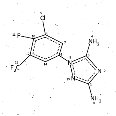 Nc1nc(N)n(-c2cc(Cl)c(F)c(C(F)(F)F)c2)n1